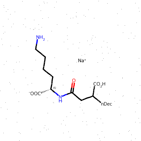 CCCCCCCCCCC(CC(=O)N[C@@H](CCCCN)C(=O)[O-])C(=O)O.[Na+]